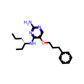 CCC[C@@H](CC)Nc1nc(N)ncc1OCCCc1ccccc1